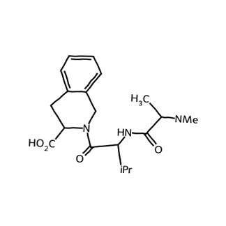 CNC(C)C(=O)NC(C(=O)N1Cc2ccccc2CC1C(=O)O)C(C)C